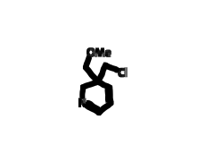 COCC1(CCl)C=CC=NC1